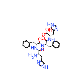 N[C@@H](Cc1c[nH]cn1)C(=O)N[C@@H](Cc1ccccc1)C(=O)N[C@@H](Cc1ccccc1)C(=O)N[C@@H](Cc1c[nH]cn1)C(=O)O